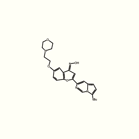 CC(C)(C)c1ccc2cc(-c3cc(=NO)c4cc(OCCN5CCOCC5)ccc4o3)ncn12